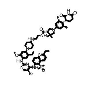 CCc1ccc2c(P(C)(C)=O)c(Nc3nc(Nc4cc(CC)c(N5CCC(NCCNC(=O)[C@H]6CN(c7cc(F)c([C@H]8CCC(=O)NC8=O)c(F)c7)CC6(C)C)CC5)cc4OC)ncc3Br)ccc2n1